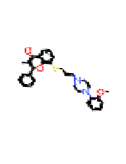 COc1ccccc1N1CCN(CCCSc2cccc3c(=O)c(C)c(-c4ccccc4)oc23)CC1